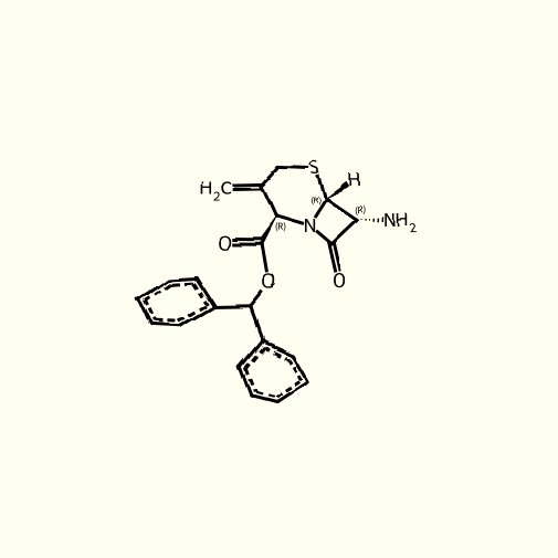 C=C1CS[C@@H]2[C@H](N)C(=O)N2[C@H]1C(=O)OC(c1ccccc1)c1ccccc1